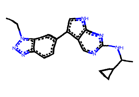 CCn1nnc2ccc(-c3c[nH]c4nc(NC(C)C5CC5)ncc34)cc21